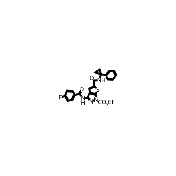 CCOC(=O)n1nc(NC(=O)c2ccc(F)cc2)c2cc(C(=O)NC3(c4ccccc4)CC3)sc21